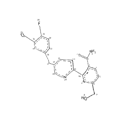 NC(=O)c1ccc(CO)nc1-c1ccc(Cc2ccc(F)c(Cl)c2)cn1